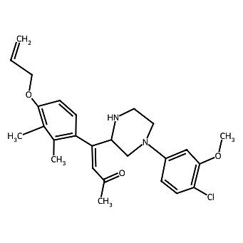 C=CCOc1ccc(C(=CC(C)=O)C2CN(c3ccc(Cl)c(OC)c3)CCN2)c(C)c1C